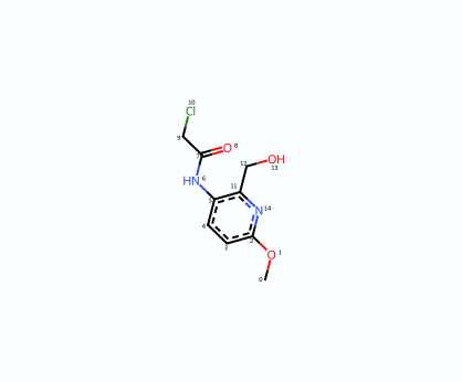 COc1ccc(NC(=O)CCl)c(CO)n1